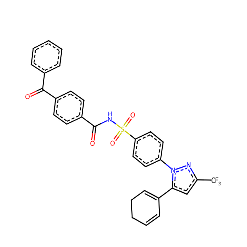 O=C(NS(=O)(=O)c1ccc(-n2nc(C(F)(F)F)cc2C2=CCCC=C2)cc1)c1ccc(C(=O)c2ccccc2)cc1